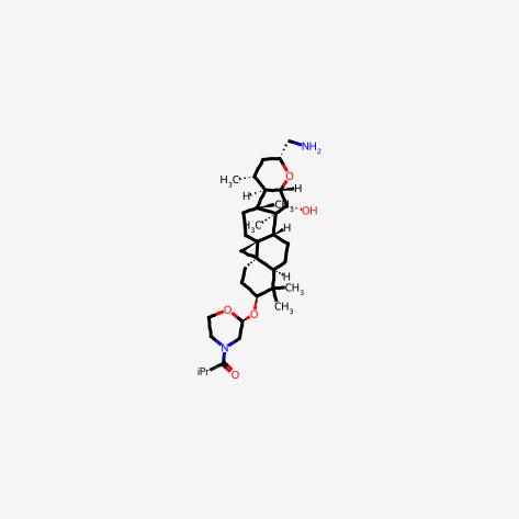 CC(C)C(=O)N1CCO[C@@H](O[C@H]2CC[C@]34C[C@]35CC[C@]3(C)[C@@H]6[C@H](O[C@@H](CN)C[C@H]6C)[C@H](O)[C@@]3(C)[C@@H]5CC[C@H]4C2(C)C)C1